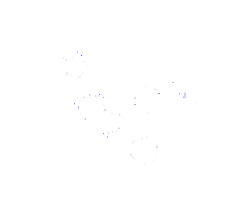 Cn1cc(-c2ncc3nc(-c4ccccc4)n(-c4ccc(C5(N)CCC5)cc4)c3n2)cn1